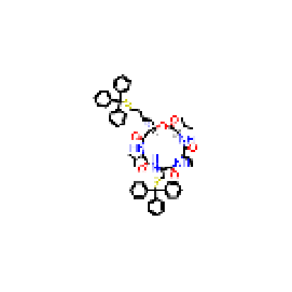 CC=C1NC(=O)[C@@H](CSC(c2ccccc2)(c2ccccc2)c2ccccc2)NC(=O)[C@@H](C(C)C)NC(=O)C[C@@H](/C=C/CCSC(c2ccccc2)(c2ccccc2)c2ccccc2)OC(=O)[C@H](C(C)C)NC1=O